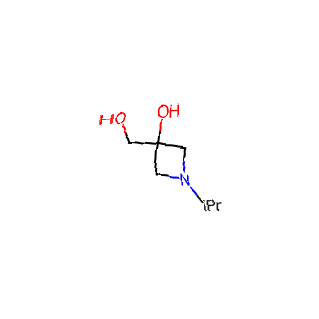 CC(C)N1CC(O)(CO)C1